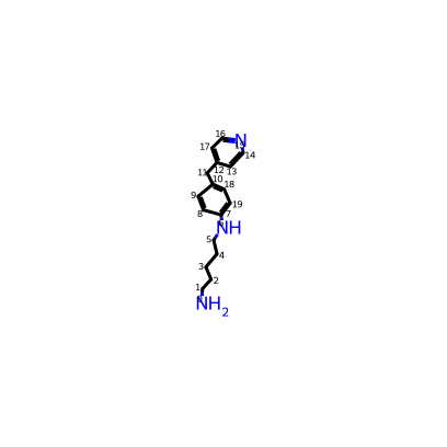 NCCCCCNc1ccc(Cc2ccncc2)cc1